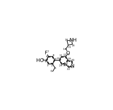 CCc1cc(O)c(F)cc1-c1cc(OCC2CNC2)c2cncn2c1